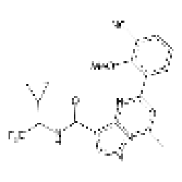 COc1c(C#N)cccc1-c1cc(C)n2ncc(C(=O)NC(C3CC3)C(F)(F)F)c2n1